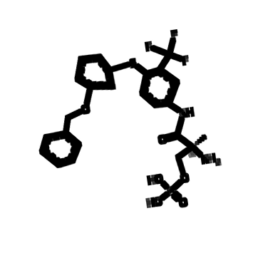 C[C@](N)(COP(=O)(O)O)C(=O)Nc1ccc(Sc2cccc(OCc3ccccc3)c2)c(C(F)(F)F)c1